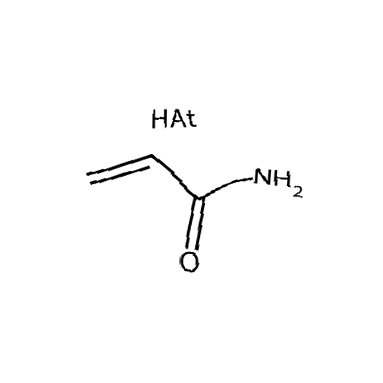 C=CC(N)=O.[AtH]